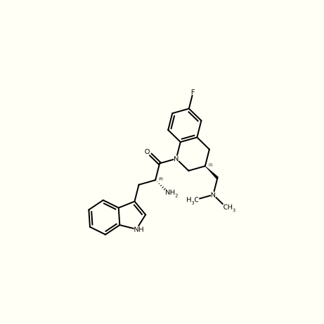 CN(C)C[C@@H]1Cc2cc(F)ccc2N(C(=O)[C@H](N)Cc2c[nH]c3ccccc23)C1